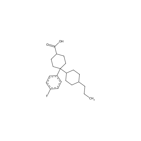 CCCC1CCC(C2(c3ccc(F)cc3)CCC(C(=O)O)CC2)CC1